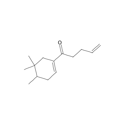 C=CCCC(=O)C1=CCC(C)C(C)(C)C1